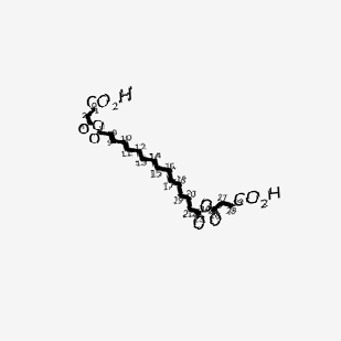 O=C(O)CCC(=O)OC(=O)CCCCCCCCCCCCCCC(=O)OC(=O)CCC(=O)O